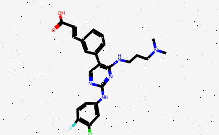 CN(C)CCCNc1nc(Nc2ccc(F)c(Cl)c2)ncc1-c1cccc(/C=C/C(=O)O)c1